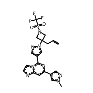 C=CCC1(n2cc(-c3nc(-c4cnn(C)c4)cc4nccn34)cn2)CN(S(=O)(=O)C(F)(F)F)C1